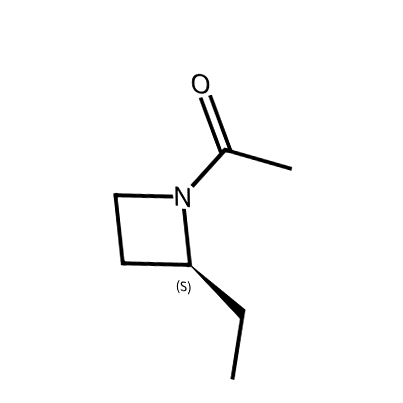 CC[C@H]1CCN1C(C)=O